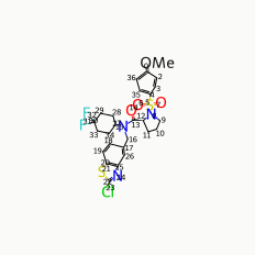 COc1ccc(S(=O)(=O)N2CCC[C@H]2C(=O)N(Cc2ccc3sc(Cl)nc3c2)C2CCC(F)(F)CC2)cc1